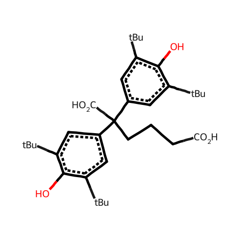 CC(C)(C)c1cc(C(CCCC(=O)O)(C(=O)O)c2cc(C(C)(C)C)c(O)c(C(C)(C)C)c2)cc(C(C)(C)C)c1O